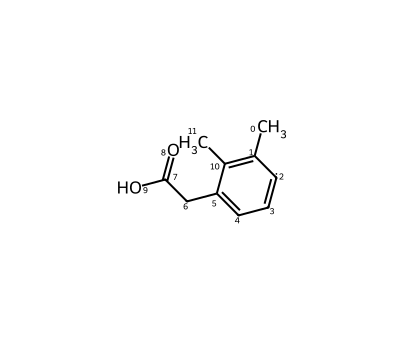 Cc1[c]ccc(CC(=O)O)c1C